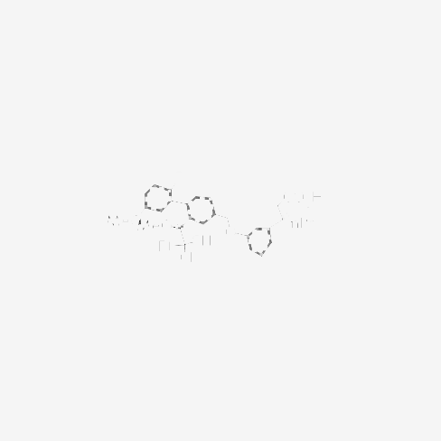 CCC[C@@H](CC(=O)O)c1cccc(OCc2ccc(-c3cc(OC)ccc3F)c([C@H](OC)C(C)(C)CC)c2)c1